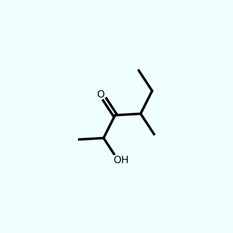 CCC(C)C(=O)C(C)O